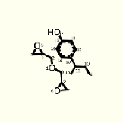 C(OCC1CO1)C1CO1.CCC(C)c1ccc(O)cc1